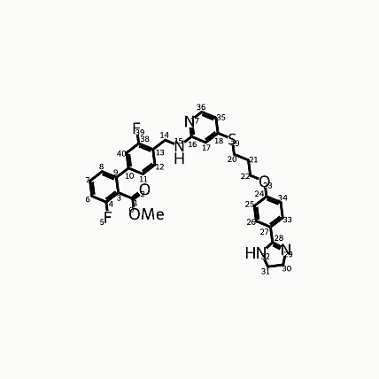 COC(=O)c1c(F)cccc1-c1ccc(CNc2cc(SCCCOc3ccc(C4=NCCN4)cc3)ccn2)c(F)c1